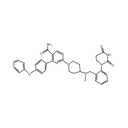 CN(Cc1ccccc1N1CCC(=O)NC1=O)C1CCN(c2ccc(C(N)=O)c(-c3ccc(Oc4ccccc4)cc3)n2)CC1